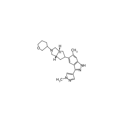 Cc1cc2[nH]nc(-c3cnn(C)c3)c2cc1C1C[C@@H]2CN(C3CCCOC3)C[C@@H]2C1